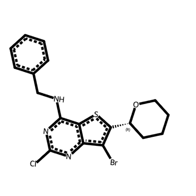 Clc1nc(NCc2ccccc2)c2sc([C@H]3CCCCO3)c(Br)c2n1